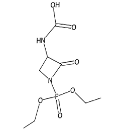 CCOP(=O)(OCC)N1CC(NC(=O)O)C1=O